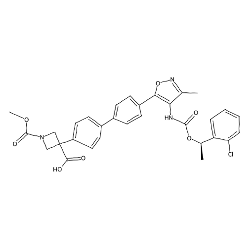 COC(=O)N1CC(C(=O)O)(c2ccc(-c3ccc(-c4onc(C)c4NC(=O)O[C@H](C)c4ccccc4Cl)cc3)cc2)C1